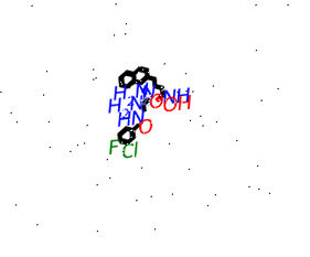 N/C(=C\N(N)C(CC(=O)NO)Cc1ccc2ccccc2c1)CNC(=O)c1ccc(F)c(Cl)c1